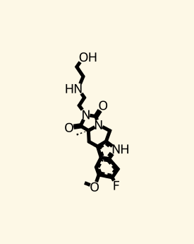 COc1cc2c3c([nH]c2cc1F)CN1C(=O)N(CCNCCO)C(=O)[C@]1(C)C3